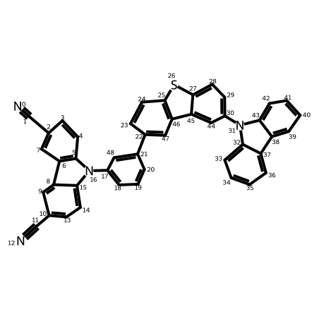 N#Cc1ccc2c(c1)c1cc(C#N)ccc1n2-c1cccc(-c2ccc3sc4ccc(-n5c6ccccc6c6ccccc65)cc4c3c2)c1